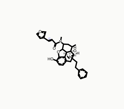 CC1CC(N(C)C(=O)/C=C/c2ccoc2)C2Oc3c(O)ccc4c3[C@@]23CCN(CCc2ccccc2)[C@H](C4)[C@]13O